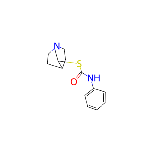 O=C(Nc1ccccc1)SC1CN2CCC1CC2